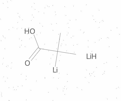 [LiH].[Li][C](C)(C)C(=O)O